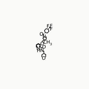 CC1(COc2cccnc2C(=O)NCC2CCOCC2)CCN(C(=O)[C@H]2CC[C@H](C(F)(F)F)CC2)C1